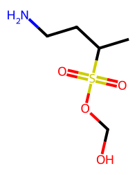 CC(CCN)S(=O)(=O)OCO